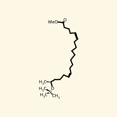 COC(=O)CCC/C=C\CCCCCCC/C=C\CCC[C@H](C)O[Si](C)(C)C